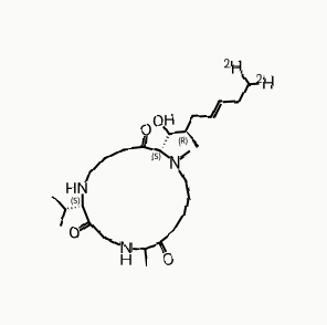 [2H]C([2H])CC=CC[C@@H](C)C(O)[C@H]1C(=O)CCCN[C@@H](C(C)C)C(=O)CNC(C)C(=O)CCCCN1C